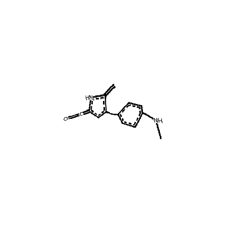 C=c1[nH]c(=C=O)cc1-c1ccc(NC)cc1